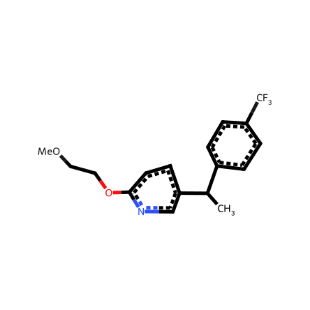 COCCOc1ccc(C(C)c2ccc(C(F)(F)F)cc2)cn1